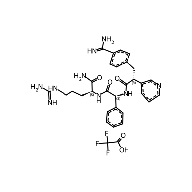 N=C(N)NCCC[C@H](NC(=O)[C@@H](NC(=O)[C@H](Cc1ccc(C(=N)N)cc1)c1cccnc1)c1ccccc1)C(N)=O.O=C(O)C(F)(F)F